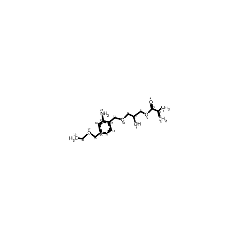 C=C(C)C(=O)OCC(O)COCc1ccc(COCC)cc1N